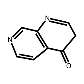 O=C1CC=Nc2cnccc21